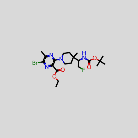 CCOC(=O)c1nc(Br)c(C)nc1N1CCC(C)(C(CF)NC(=O)OC(C)(C)C)CC1